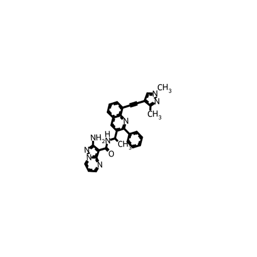 Cc1nn(C)cc1C#Cc1cccc2cc(C(C)NC(=O)c3c(N)nn4cccnc34)c(-c3ccccc3)nc12